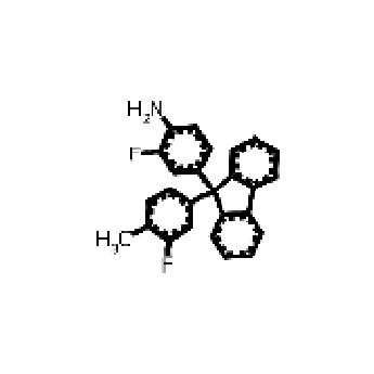 Cc1ccc(C2(c3ccc(N)c(F)c3)c3ccccc3-c3ccccc32)cc1F